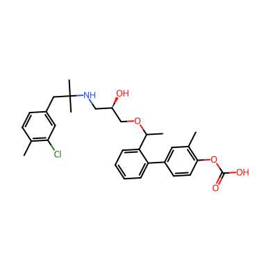 Cc1ccc(CC(C)(C)NC[C@@H](O)COC(C)c2ccccc2-c2ccc(OC(=O)O)c(C)c2)cc1Cl